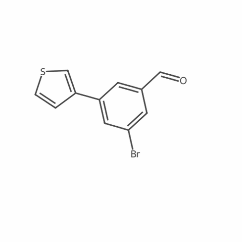 O=Cc1cc(Br)cc(-c2ccsc2)c1